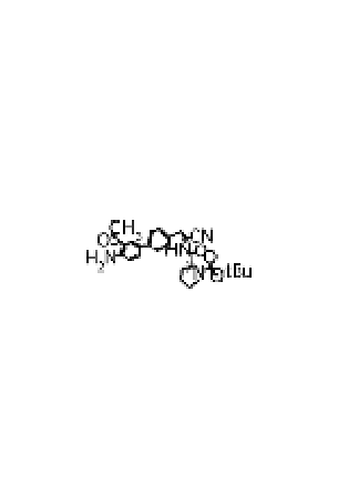 C[S+]([O-])c1cc(-c2ccc(C[C@@H](C#N)NC(=O)[C@@H]3CCCCN3C(=O)OC(C)(C)C)cc2)ccc1N